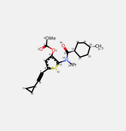 COC(=O)Oc1cc(C#CC2CC2)sc1N(C(=O)[C@H]1CC[C@H](C)CC1)C(C)C